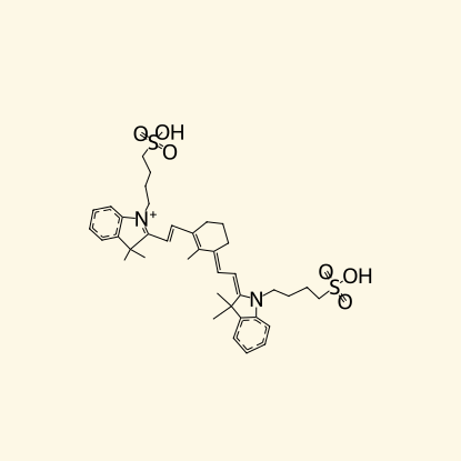 CC1=C(/C=C/C2=[N+](CCCCS(=O)(=O)O)c3ccccc3C2(C)C)CCC/C1=C\C=C1\N(CCCCS(=O)(=O)O)c2ccccc2C1(C)C